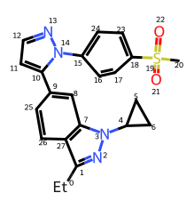 CCc1nn(C2CC2)c2cc(-c3ccnn3-c3ccc(S(C)(=O)=O)cc3)ccc12